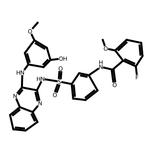 COc1cc(O)cc(Nc2nc3ccccc3nc2NS(=O)(=O)c2cccc(NC(=O)c3c(F)cccc3OC)c2)c1